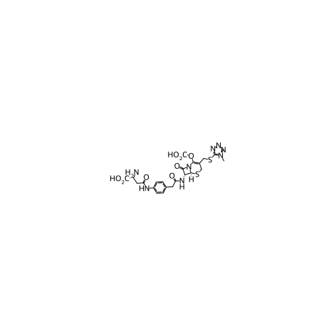 Cn1nnnc1SCC1=C(OC(=O)O)N2C(=O)[C@@H](NC(=O)Cc3ccc(NC(=O)C[C@@H](N)C(=O)O)cc3)[C@@H]2SC1